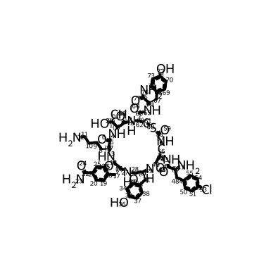 C[C@@H](O)[C@@H]1NC(=O)[C@H](CCCCN)NC(=O)[C@@H](Cc2ccc(C(N)=O)cc2)NC(=O)[C@H](Cc2ccc(O)cc2)NC(=O)[C@H](NC(=O)[C@@H](N)Cc2ccc(Cl)cc2)CNC(=O)SC[C@@H](C(=O)N[C@H](Cc2ccc(O)cc2)C(N)=O)NC1=O